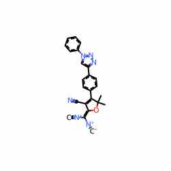 [C-]#[N+]C([N+]#[C-])=C1OC(C)(C)C(c2ccc(-c3cn(-c4ccccc4)nn3)cc2)=C1C#N